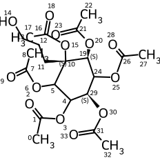 CC(=O)OC1C(OC(C)=O)[C@](CCCO)(OC(C)=O)[C@@H](OC(C)=O)C(OC(C)=O)[C@H]1OC(C)=O